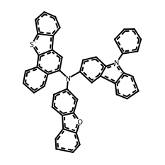 c1ccc(-n2c3ccccc3c3cc(N(c4ccc5c(c4)oc4ccccc45)c4cc5c6ccccc6sc5c5ccccc45)ccc32)cc1